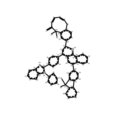 C=C1/C=C\C=C/Cc2ccc(-c3cc(-c4ccc(-c5nc6ccccc6n5-c5ccccc5)cc4)c4cc(-c5ccc6c(c5)C(C)(C)c5ccccc5-6)c5ccccc5c4n3)cc2C1(C)C